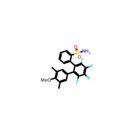 COc1c(C)cc(-c2c(F)c(F)c(F)c(F)c2-c2ccccc2S(N)(=O)=O)cc1C